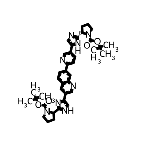 CC(C)(C)OC(=O)N1CCCC1c1nc(-c2cnc3cc(-c4ccc(-c5cnc([C@@H]6CCCN6C(=O)OC(C)(C)C)[nH]5)cn4)ccc3c2)c[nH]1